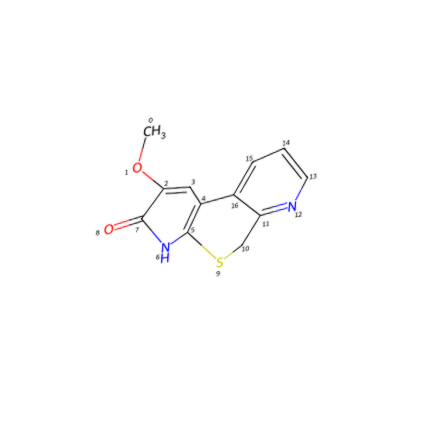 COc1cc2c([nH]c1=O)SCc1ncccc1-2